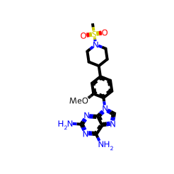 COc1cc(C2CCN(S(C)(=O)=O)CC2)ccc1-n1cnc2c(N)nc(N)nc21